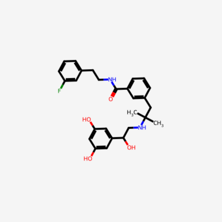 CC(C)(Cc1cccc(C(=O)NCCc2cccc(F)c2)c1)NCC(O)c1cc(O)cc(O)c1